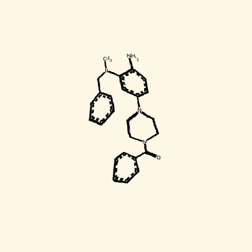 CN(Cc1ccccc1)c1cc(N2CCN(C(=O)c3ccccc3)CC2)ccc1N